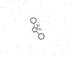 [3H][Si]1([3H])C(c2ccccc2)=CC=C1c1ccccc1